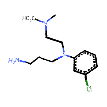 CN(CCN(CCCN)c1cccc(Cl)c1)C(=O)O